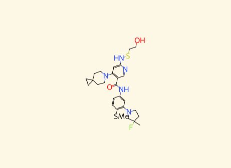 CSc1ccc(NC(=O)c2cnc(NSCCO)cc2N2CCC3(CC2)CC3)cc1N1CCC(C)(F)C1